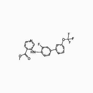 COC(=O)c1ccncc1Nc1ccc(-c2cccc(OC(F)(F)F)c2)cc1F